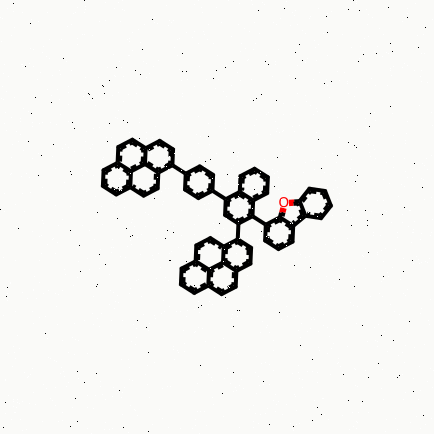 c1cc2ccc3ccc(-c4ccc(-c5cc(-c6ccc7ccc8cccc9ccc6c7c89)c(-c6cccc7c6oc6ccccc67)c6ccccc56)cc4)c4ccc(c1)c2c34